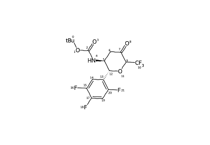 CC(C)(C)OC(=O)N[C@H]1CC(=O)C(C(F)(F)F)O[C@@H]1c1cc(F)c(F)cc1F